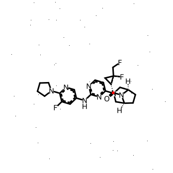 O=C([C@@H]1CC1(F)CF)N1[C@@H]2CC[C@H]1CN(c1ccnc(Nc3cnc(N4CCCC4)c(F)c3)n1)C2